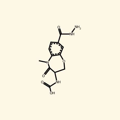 CN1C(=O)C(NC(=O)O)COc2cc(C(=O)NN)ccc21